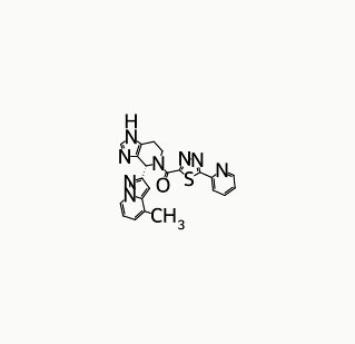 Cc1cccn2nc([C@@H]3c4nc[nH]c4CCN3C(=O)c3nnc(-c4ccccn4)s3)cc12